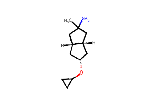 CC1(N)C[C@H]2C[C@@H](OC3CC3)C[C@H]2C1